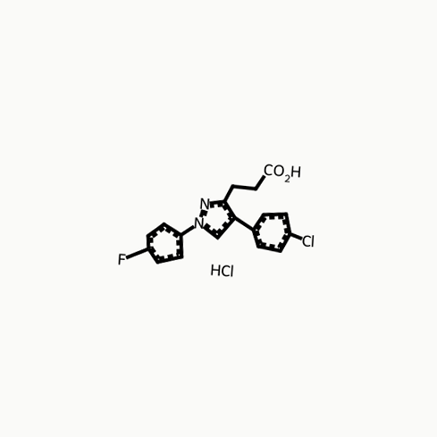 Cl.O=C(O)CCc1nn(-c2ccc(F)cc2)cc1-c1ccc(Cl)cc1